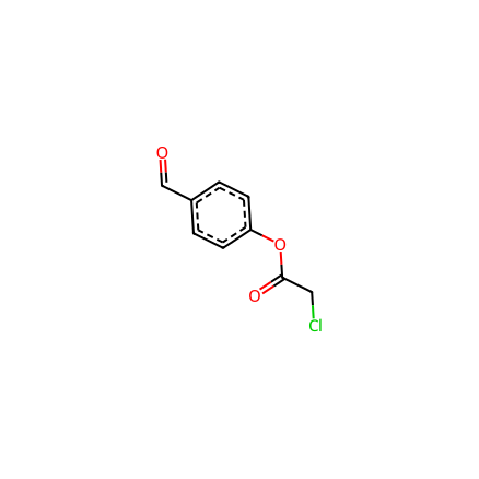 O=Cc1ccc(OC(=O)CCl)cc1